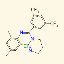 Cc1cc(C)c(/N=C(/c2cc(C(F)(F)F)cc(C(F)(F)F)c2)N2C=NCCC2)c(Cl)c1